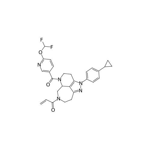 C=CC(=O)N1CCc2nn(-c3ccc(C4CC4)cc3)c3c2C(C1)N(C(=O)c1ccc(OC(F)F)nc1)CC3